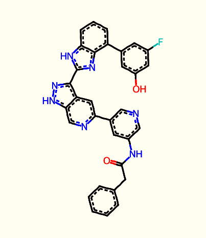 O=C(Cc1ccccc1)Nc1cncc(-c2cc3c(-c4nc5c(-c6cc(O)cc(F)c6)cccc5[nH]4)n[nH]c3cn2)c1